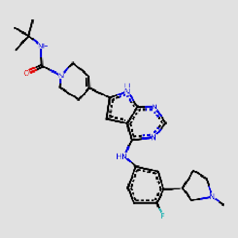 CN1CC[C@H](c2cc(Nc3ncnc4[nH]c(C5=CCN(C(=O)NC(C)(C)C)CC5)cc34)ccc2F)C1